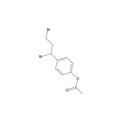 CC(=O)Oc1ccc(C(Br)CCBr)cc1